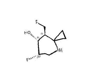 O[C@@H]1[C@@H](CF)C2(CC2)NC[C@@H]1F